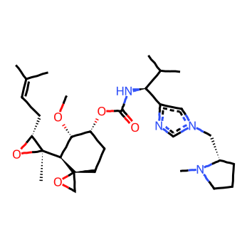 CO[C@@H]1[C@H](OC(=O)N[C@H](c2cn(C[C@@H]3CCCN3C)cn2)C(C)C)CC[C@]2(CO2)[C@H]1[C@@]1(C)O[C@@H]1CC=C(C)C